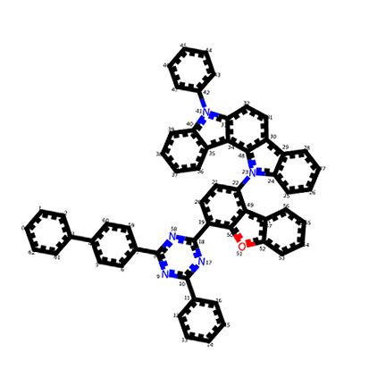 c1ccc(-c2ccc(-c3nc(-c4ccccc4)nc(-c4ccc(-n5c6ccccc6c6ccc7c(c8ccccc8n7-c7ccccc7)c65)c5c4oc4ccccc45)n3)cc2)cc1